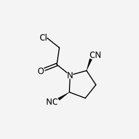 N#C[C@@H]1CC[C@H](C#N)N1C(=O)CCl